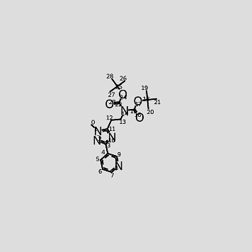 Cn1nc(-c2cccnc2)nc1CCN(C(=O)OC(C)(C)C)C(=O)OC(C)(C)C